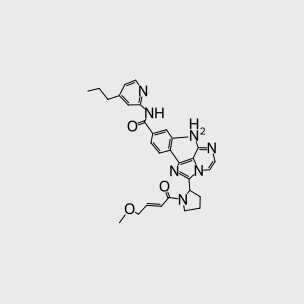 CCCc1ccnc(NC(=O)c2ccc(-c3nc(C4CCCN4C(=O)C=CCOC)n4ccnc(N)c34)c(C)c2)c1